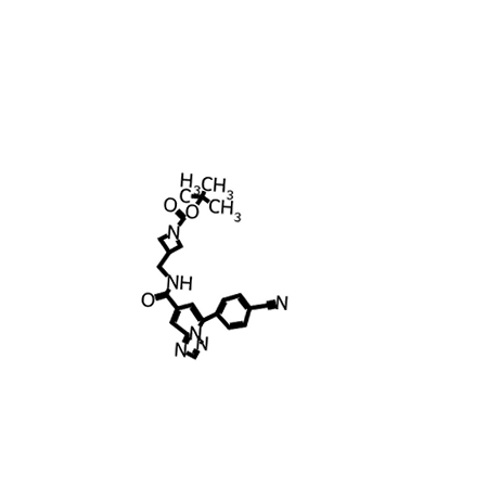 CC(C)(C)OC(=O)N1CC(CNC(=O)c2cc(-c3ccc(C#N)cc3)n3ncnc3c2)C1